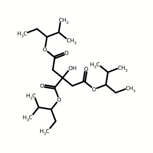 CCC(OC(=O)CC(O)(CC(=O)OC(CC)C(C)C)C(=O)OC(CC)C(C)C)C(C)C